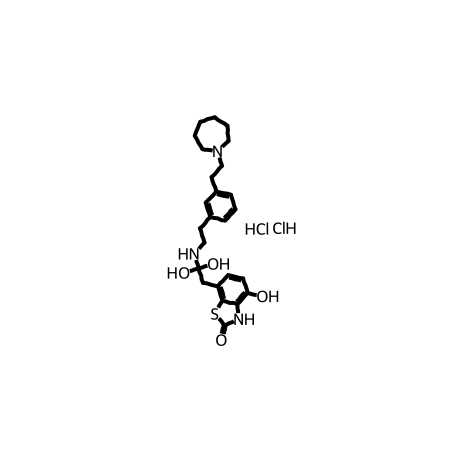 Cl.Cl.O=c1[nH]c2c(O)ccc(CC(O)(O)NCCc3cccc(CCN4CCCCCC4)c3)c2s1